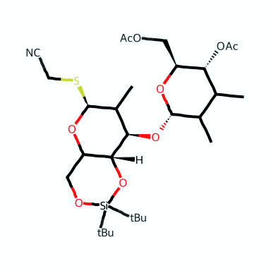 CC(=O)OC[C@@H]1O[C@@H](O[C@@H]2C(C)[C@H](SCC#N)OC3CO[Si](C(C)(C)C)(C(C)(C)C)O[C@H]32)C(C)C(C)[C@H]1OC(C)=O